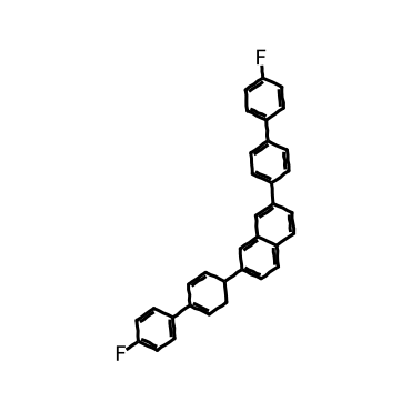 Fc1ccc(C2=CCC(c3ccc4ccc(-c5ccc(-c6ccc(F)cc6)cc5)cc4c3)C=C2)cc1